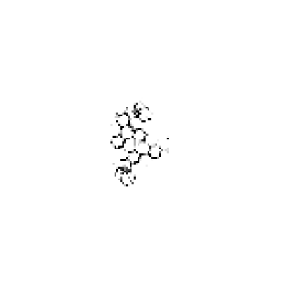 Cc1cc(-c2ccccc2-c2cccc(-c3ccccc3-c3cc(C)c(C)c(C45CC6CC(CC(C6)C4)C5)c3[O-])n2)c([O-])c(C23CC4CC(CC(C4)C2)C3)c1C.[CH3][Hf+2][CH3]